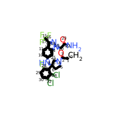 C=CC(=O)N1CC[C@](Nc2ccc3c(C(F)(F)F)nn(CC(N)=O)c3c2)(c2c(F)ccc(Cl)c2Cl)C1